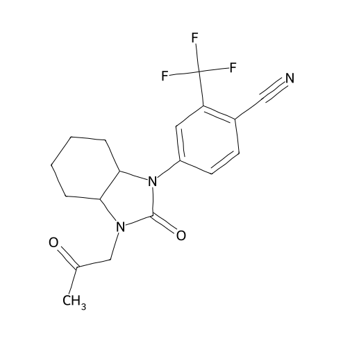 CC(=O)CN1C(=O)N(c2ccc(C#N)c(C(F)(F)F)c2)C2CCCCC21